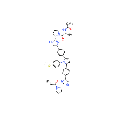 COC(=O)N[C@H](C(=O)N1CCC[C@H]1c1nc(-c2ccc(-c3ccc(-c4ccc(-c5c[nH]c([C@@H]6CCCN6C(=O)[CH]C(C)C)n5)cc4)n3-c3ccc(SC(F)(F)F)cc3)cc2)c[nH]1)C(C)C